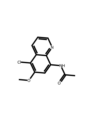 COc1cc(NC(C)=O)c2ncccc2c1Cl